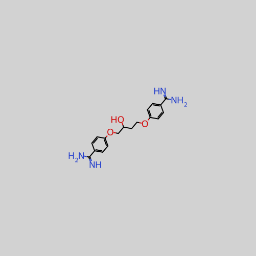 N=C(N)c1ccc(OCCC(O)COc2ccc(C(=N)N)cc2)cc1